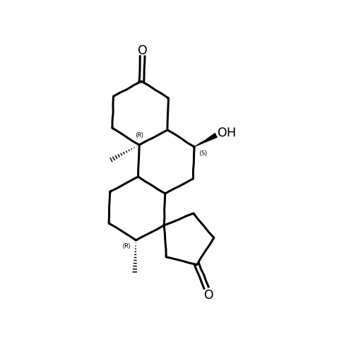 C[C@@H]1CCC2C(C[C@H](O)C3CC(=O)CC[C@]23C)C12CCC(=O)C2